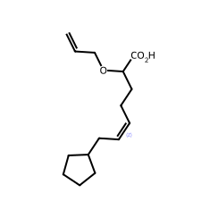 C=CCOC(CC/C=C\CC1CCCC1)C(=O)O